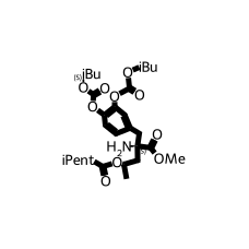 CCCC(C)C(=O)OC(C)C[C@@](N)(Cc1ccc(OC(=O)O[C@@H](C)CC)c(OC(=O)OC(C)CC)c1)C(=O)OC